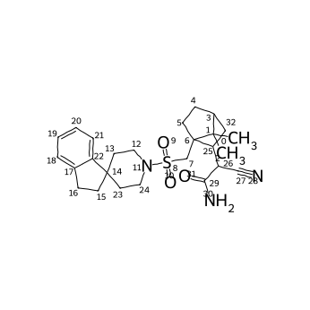 CC1(C)C2CCC1(CS(=O)(=O)N1CCC3(CCc4ccccc43)CC1)C(C(C#N)C(N)=O)C2